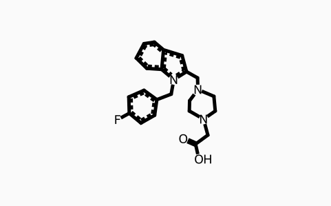 O=C(O)CN1CCN(Cc2cc3ccccc3n2Cc2ccc(F)cc2)CC1